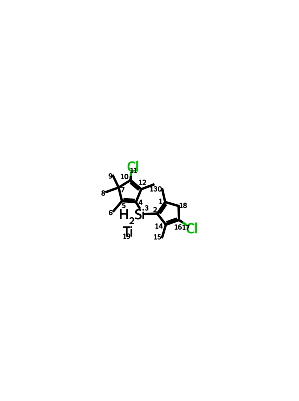 CC1=C([SiH2]C2=C(C)C(C)(C)C(Cl)=C2C)C(C)=C(Cl)C1.[Ti]